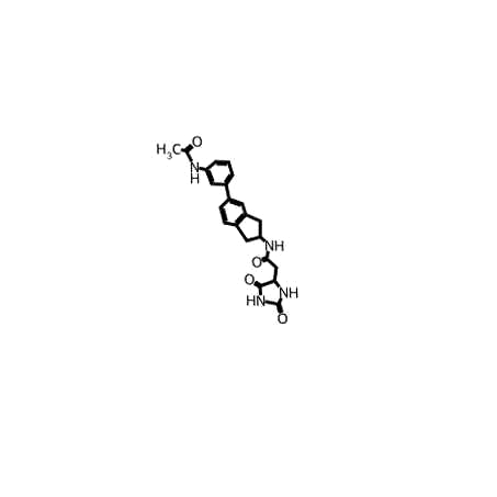 CC(=O)Nc1cccc(-c2ccc3c(c2)CC(NC(=O)CC2NC(=O)NC2=O)C3)c1